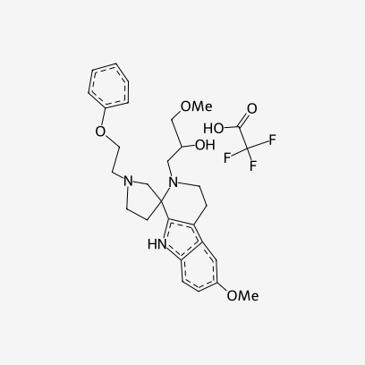 COCC(O)CN1CCc2c([nH]c3ccc(OC)cc23)C12CCN(CCOc1ccccc1)C2.O=C(O)C(F)(F)F